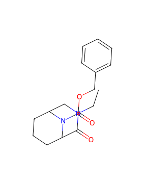 CCN1CC2CCCC(C1=O)N2C(=O)OCc1ccccc1